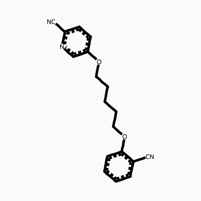 N#Cc1ccc(OCCCCCOc2ccccc2C#N)cn1